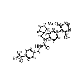 CCS(=O)(=O)c1ccc(CNC(=O)N2CC3(CCCC3)c3cc(-c4c(O)ncnc4OC)ccc32)cc1